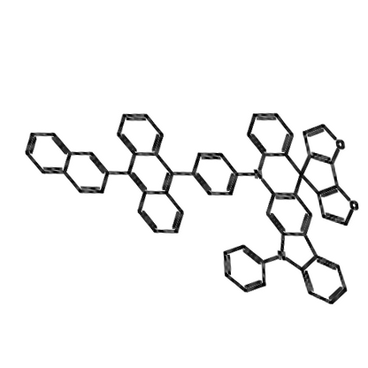 c1ccc(-n2c3ccccc3c3cc4c(cc32)N(c2ccc(-c3c5ccccc5c(-c5ccc6ccccc6c5)c5ccccc35)cc2)c2ccccc2C42c3ccoc3-c3occc32)cc1